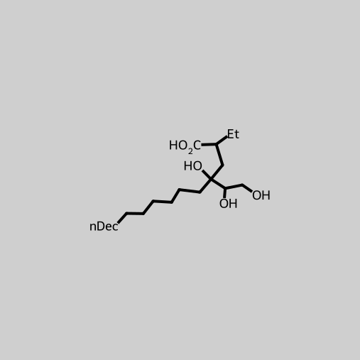 CCCCCCCCCCCCCCCCC(O)(CC(CC)C(=O)O)C(O)CO